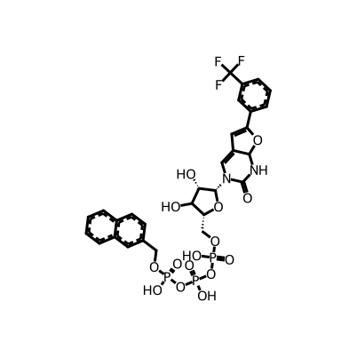 O=C1NC2OC(c3cccc(C(F)(F)F)c3)=CC2=CN1[C@@H]1O[C@H](COP(=O)(O)OP(=O)(O)OP(=O)(O)OCc2ccc3ccccc3c2)C(O)[C@@H]1O